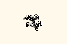 CC(C)OC[C@@H](CS(=O)(=O)Cc1cnc2ccccc2c1)N(O)C=O.CC(C)OC[C@@H](CS(=O)(=O)Cc1cnc2ccccc2c1)NO